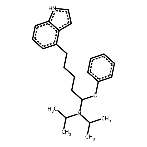 CC(C)N(C(C)C)C(CCCCc1cccc2[nH]ccc12)Oc1ccccc1